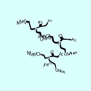 COCCN(CCOC)C(=O)CC(C)=O.COCCN(CCOC)C(=O)CC(C)=O.COCCN(CCOC)C(=O)CC(C)=O.[Fe+3]